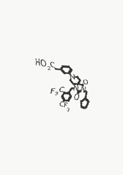 O=C(O)Cc1cccc(N2CCC3(CC2)C(=O)N(CC2CCCC2)C(=O)N3Cc2ccc(C(F)(F)F)cc2C(F)(F)F)c1